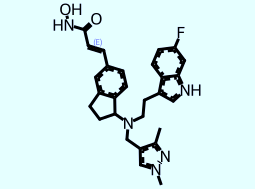 Cc1nn(C)cc1CN(CCc1c[nH]c2cc(F)ccc12)C1CCc2cc(/C=C/C(=O)NO)ccc21